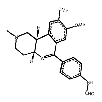 COc1cc2c(cc1OC)[C@H]1CN(C)CC[C@H]1N=C2c1ccc(NC=O)cc1